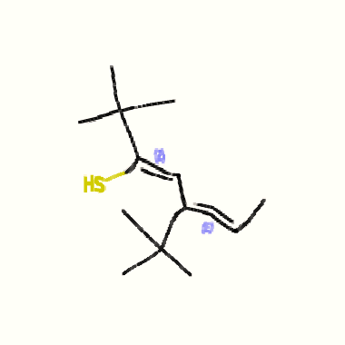 C/C=C(\C=C(/S)C(C)(C)C)C(C)(C)C